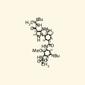 COc1c(NC(=O)c2ccc(C)c(N3NCC(C(=O)N[C@@H](C)C(C)(C)C)=C3N)c2)cc(C(C)(C)C)cc1NS(C)(=O)=O